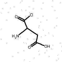 NC(CC(=O)O)C(=O)Cl